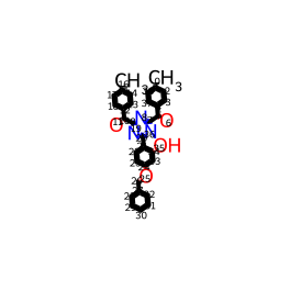 Cc1ccc(C(=O)c2nc(C(=O)c3ccc(C)cc3)nc(-c3ccc(OCc4ccccc4)cc3O)n2)cc1